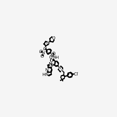 CC1(C)CCC(CN2CCN(c3ccc(C(=O)NS(=O)(=O)c4ccc(OC5CCN(C6CCOCC6)C5)c([N+](=O)[O-])c4)c(-n4ncc5nc6[nH]ccc6cc54)c3)CC2)=C(c2ccc(Cl)cc2)C1